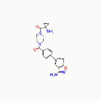 Nc1noc2ccc(-c3ccc(C(=O)N4CCN(C(=O)C5(N)CC5)CC4)cc3)cc12